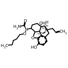 C=CCN1CC[C@]23c4c5ccc(O)c4OC2C(N(OCCCCC)C(N)=O)CC[C@@]3(O)[C@H]1C5